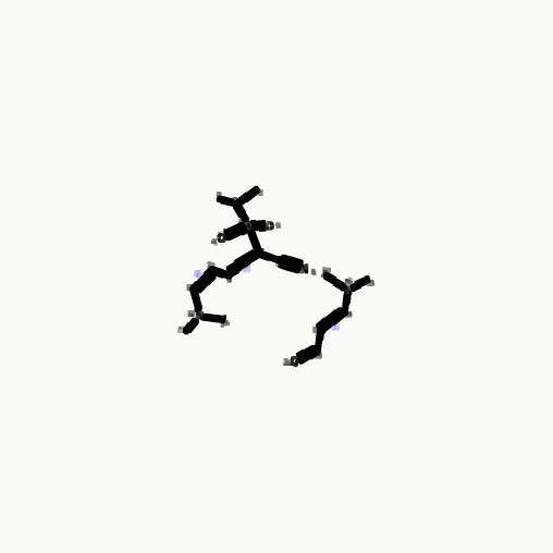 CC(C)S(=O)(=O)/C(C#N)=C\C=C/N(C)C.CN(C)/C=C/C=O